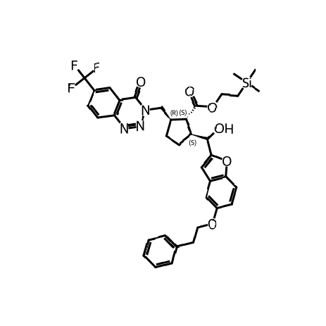 C[Si](C)(C)CCOC(=O)[C@H]1[C@H](Cn2nnc3ccc(C(F)(F)F)cc3c2=O)CC[C@@H]1C(O)c1cc2cc(OCCc3ccccc3)ccc2o1